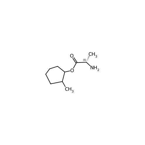 CC1CCCCC1OC(=O)[C@H](C)N